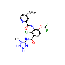 CCN1NNN=C1NC(=O)c1ccc(OC(F)F)c(NC(=O)c2cc(OC)ccn2)c1Cl